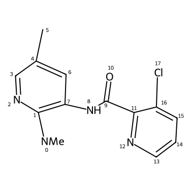 CNc1ncc(C)cc1NC(=O)c1ncccc1Cl